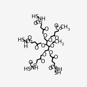 C=COC(C(COCC(=O)C[CH2][Co](=[O])[NH]S)OCC(=O)C[CH2][Co](=[O])[NH]S)C(OCC(=O)C[CH2][Co](=[O])[NH]S)C(COCC(=O)C[CH2][Co](=[O])[NH]S)OCC(=O)C[CH2][Co]([CH3])=[O]